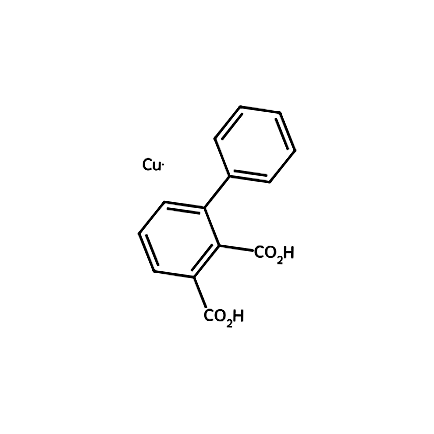 O=C(O)c1cccc(-c2ccccc2)c1C(=O)O.[Cu]